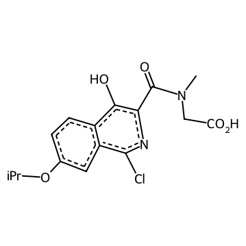 CC(C)Oc1ccc2c(O)c(C(=O)N(C)CC(=O)O)nc(Cl)c2c1